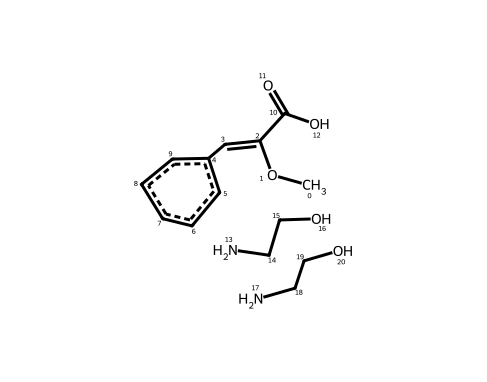 COC(=Cc1ccccc1)C(=O)O.NCCO.NCCO